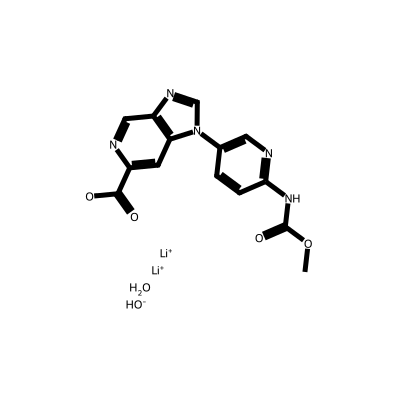 COC(=O)Nc1ccc(-n2cnc3cnc(C(=O)[O-])cc32)cn1.O.[Li+].[Li+].[OH-]